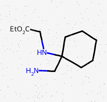 CCOC(=O)CNC1(CN)CCCCC1